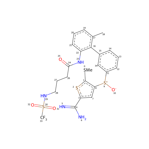 CSc1sc(C(=N)N)cc1[S+]([O-])c1cccc(-c2c(C)cccc2NC(=O)CCCNS(=O)(=O)C(F)(F)F)c1